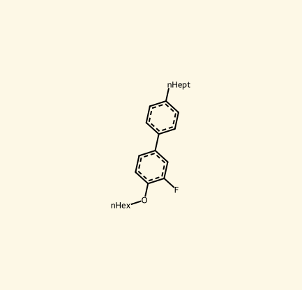 CCCCCCCc1ccc(-c2ccc(OCCCCCC)c(F)c2)cc1